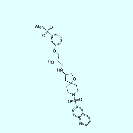 CNS(=O)(=O)c1cccc(OC[C@@H](O)CN[C@H]2COC3(CCN(S(=O)(=O)c4ccc5ncccc5c4)CC3)C2)c1